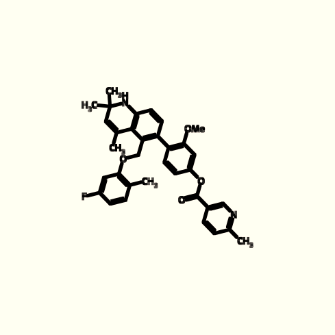 COc1cc(OC(=O)c2ccc(C)nc2)ccc1-c1ccc2c(c1COc1cc(F)ccc1C)C(C)=CC(C)(C)N2